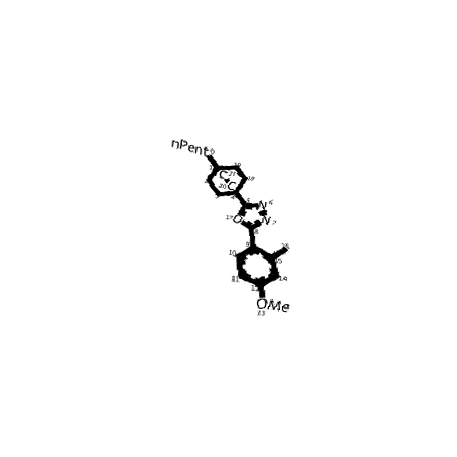 CCCCCC12CCC(c3nnc(-c4ccc(OC)cc4C)o3)(CC1)CC2